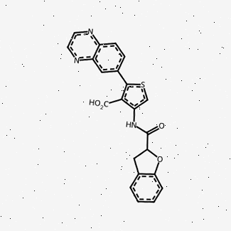 O=C(O)c1c(NC(=O)C2Cc3ccccc3O2)csc1-c1ccc2nccnc2c1